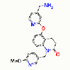 COc1ccc(CN2C(=O)CCc3c(Oc4cc(CN)ccn4)cccc32)cn1